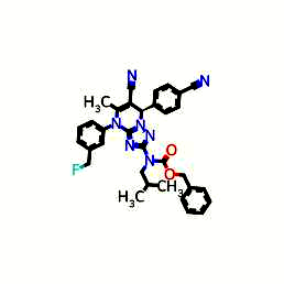 CC1=C(C#N)[C@@H](c2ccc(C#N)cc2)n2nc(N(CC(C)C)C(=O)OCc3ccccc3)nc2N1c1cccc(CF)c1